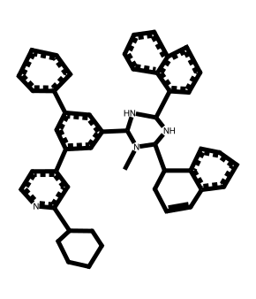 CN1C(c2cc(-c3ccccc3)cc(-c3ccnc(C4CCCCC4)c3)c2)NC(c2cccc3ccccc23)NC1C1CC=Cc2ccccc21